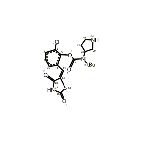 CC(C)(C)N(C(=O)Oc1c(Cl)cccc1C=C1SC(=O)NC1=O)C1CCNC1